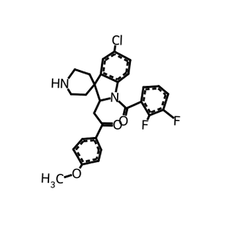 COc1ccc(C(=O)CC2N(C(=O)c3cccc(F)c3F)c3ccc(Cl)cc3C23CCNCC3)cc1